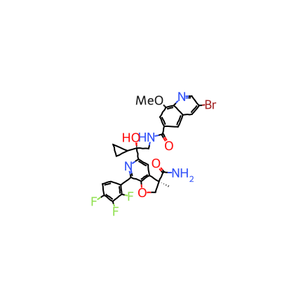 COc1cc(C(=O)NC[C@](O)(c2cc3c(c(-c4ccc(F)c(F)c4F)n2)OC[C@]3(C)C(N)=O)C2CC2)cc2cc(Br)cnc12